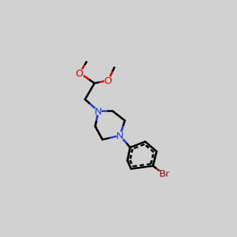 COC(CN1CCN(c2ccc(Br)cc2)CC1)OC